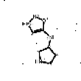 C1=C(NC2CCNC2)O[N]N1